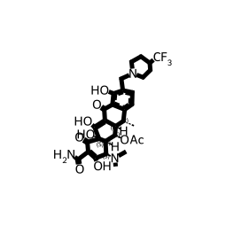 CC(=O)O[C@H]1[C@H]2C(=C(O)[C@]3(O)C(=O)C(C(N)=O)=C(O)[C@@H](N(C)C)[C@H]13)C(=O)c1c(ccc(CN3CCC(C(F)(F)F)CC3)c1O)[C@@H]2C